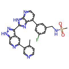 Cc1ccncc1-c1cc2c(-c3nc4c(-c5cc(F)cc(CNS(C)(=O)=O)c5)ccnc4[nH]3)n[nH]c2cn1